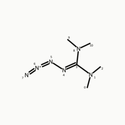 CN(C)C(=NN=[N+]=[N-])N(C)C